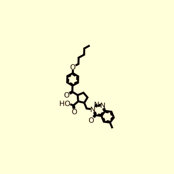 CCCCCOc1ccc(C(=O)C2CCC(Cn3nnc4ccc(C)cc4c3=O)C2C(=O)O)cc1